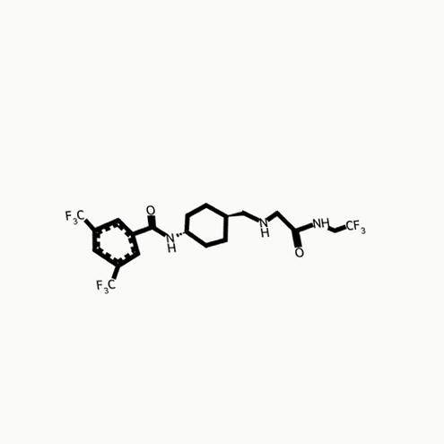 O=C(CNC[C@H]1CC[C@H](NC(=O)c2cc(C(F)(F)F)cc(C(F)(F)F)c2)CC1)NCC(F)(F)F